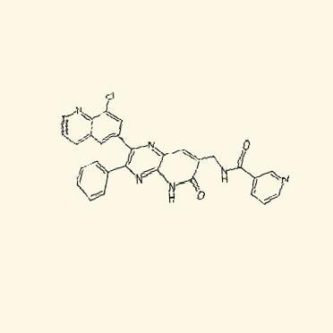 O=C(NCc1cc2nc(-c3cc(Cl)c4ncccc4c3)c(-c3ccccc3)nc2[nH]c1=O)c1cccnc1